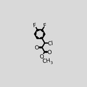 COC(=O)C(=O)C(Cl)c1ccc(F)c(F)c1